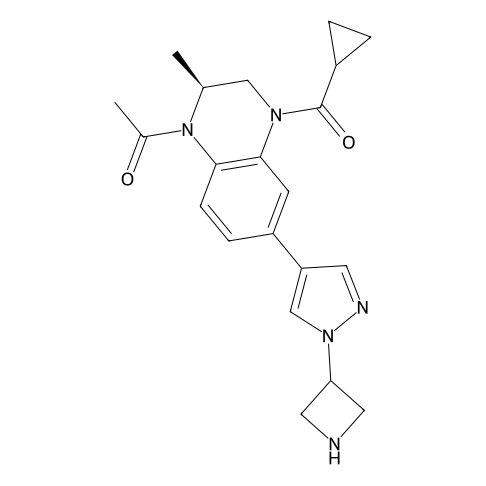 CC(=O)N1c2ccc(-c3cnn(C4CNC4)c3)cc2N(C(=O)C2CC2)C[C@@H]1C